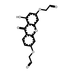 O=CCOc1ccc2c(=O)c3c(O)cc(OCC=O)cc3oc2c1